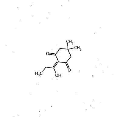 CCC(O)=C1C(=O)CC(C)(C)CC1=O